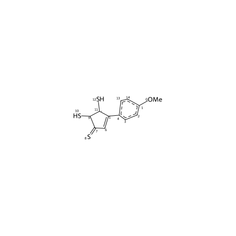 COc1ccc(C2=CC(=S)C(S)[C]2S)cc1